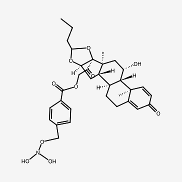 CCCC1O[C@@H]2C[C@H]3[C@@H]4CCC5=CC(=O)C=C[C@]5(C)[C@H]4[C@@H](O)C[C@]3(C)[C@]2(C(=O)COC(=O)c2ccc(CON(O)O)cc2)O1